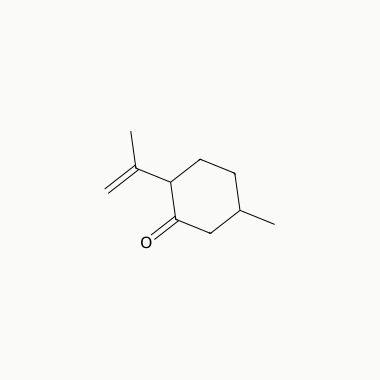 C=C(C)C1CCC(C)CC1=O